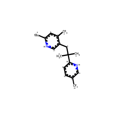 CC(C)(C)c1cc(C(F)(F)F)c(CC(C)(C)c2ccc(C(F)(F)F)cn2)cn1